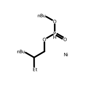 CCCCO[PH](=O)OCC(CC)CCCC.[Ni]